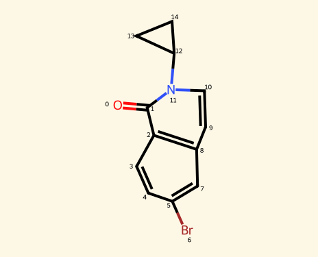 O=c1c2ccc(Br)cc2ccn1C1CC1